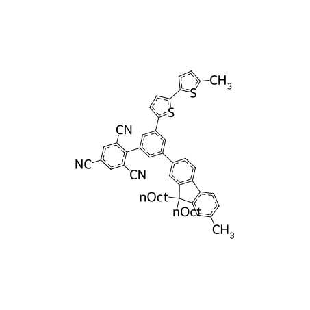 CCCCCCCCC1(CCCCCCCC)c2cc(C)ccc2-c2ccc(-c3cc(-c4ccc(-c5ccc(C)s5)s4)cc(-c4c(C#N)cc(C#N)cc4C#N)c3)cc21